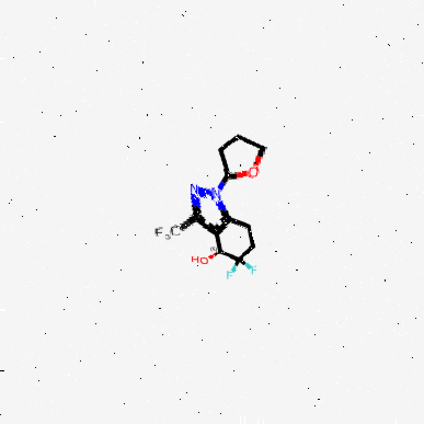 O[C@H]1c2c(C(F)(F)F)nn(C3CCCO3)c2CCC1(F)F